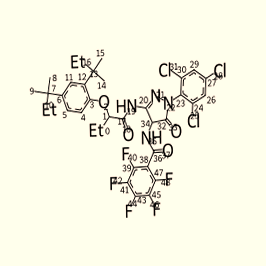 CCC(Oc1ccc(C(C)(C)CC)cc1C(C)(C)CC)C(=O)NC1=NN(c2c(Cl)cc(Cl)cc2Cl)C(=O)C1NC(=O)c1c(F)c(F)c(F)c(F)c1F